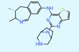 CC1N=Cc2cc(Nc3nc(N4C5CCC4CNC5)nc4ccsc34)ccc2C[C@H]1C